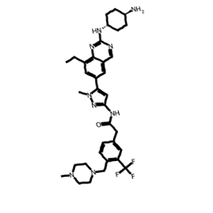 CCc1cc(-c2cc(NC(=O)Cc3ccc(CN4CCN(C)CC4)c(C(F)(F)F)c3)nn2C)cc2cnc(N[C@H]3CC[C@H](N)CC3)nc12